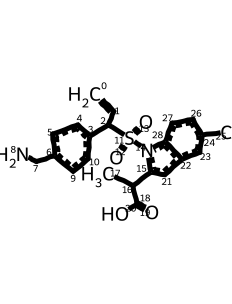 C=CC(c1ccc(CN)cc1)S(=O)(=O)n1c(C(C)C(=O)O)cc2cc(Cl)ccc21